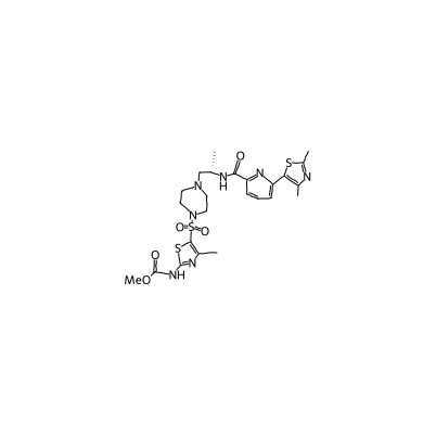 COC(=O)Nc1nc(C)c(S(=O)(=O)N2CCN(C[C@H](C)NC(=O)c3cccc(-c4sc(C)nc4C)n3)CC2)s1